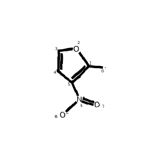 [CH2]c1occc1[N+](=O)[O-]